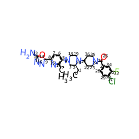 CC[C@H]1CN(c2ccc(-c3nnc(N)o3)nc2C)CCN1C1CCN(C(=O)c2ccc(Cl)c(F)c2)CC1